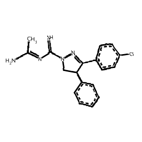 C/C(N)=N\C(=N)N1CC(c2ccccc2)C(c2ccc(Cl)cc2)=N1